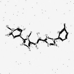 Cc1cccc(-n2nnc([C@@H](C)Sc3nnc(-c4ccn(C)c(=O)c4)n3C)n2)c1